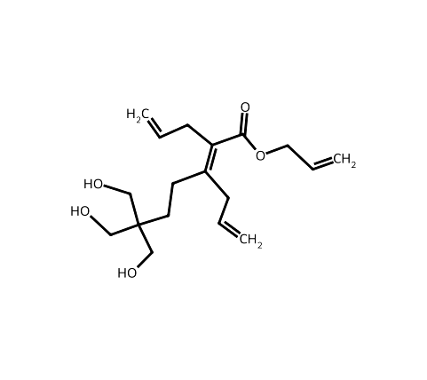 C=CCOC(=O)C(CC=C)=C(CC=C)CCC(CO)(CO)CO